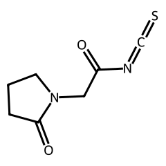 O=C(CN1CCCC1=O)N=C=S